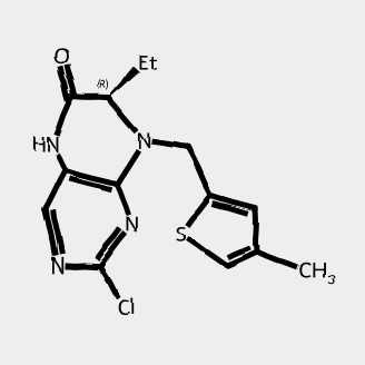 CC[C@@H]1C(=O)Nc2cnc(Cl)nc2N1Cc1cc(C)cs1